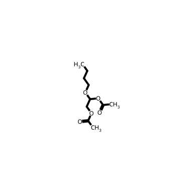 CCCCOC(COC(C)=O)OC(C)=O